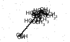 CCCC[C@H](CCC[C@H](O)[C@H](O)CCCCCCCCCCCCCC[C@@H](O)C(=O)O)OC1OC[C@H](O)[C@@H](O)[C@@H]1O[C@H]1OC[C@H](OC(C)=O)[C@@H](O)[C@@H]1O[C@H]1O[C@@H](COC(=O)CC(C)C)[C@H](O)[C@@H](O)[C@@H]1O